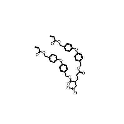 C=CC(=O)OCc1ccc(Oc2ccc(COC(=O)CCC(CN(CC)CC)C(=O)OCc3ccc(Oc4ccc(COC(=O)C=C)cc4)cc3)cc2)cc1